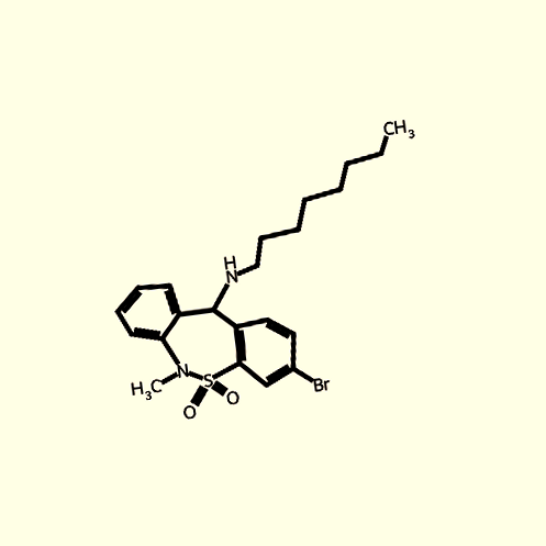 CCCCCCCCNC1c2ccccc2N(C)S(=O)(=O)c2cc(Br)ccc21